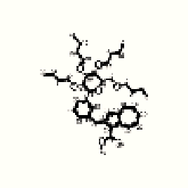 CCCCOC[C@H]1O[C@@H](c2cccc(Cc3cc4cccccc-4c3C(=O)OC)c2)[C@H](OCCCC)[C@@H](OCCCC)[C@@H]1OCCCC